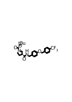 CC(C)(C)OC(=O)N1CC[C@H](C(=O)NCc2ccc(OCc3ccc(C(F)(F)F)cc3)cc2)C1